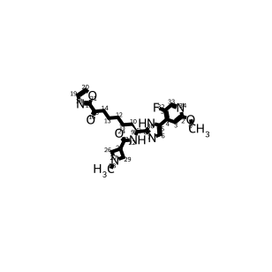 COc1cc(-c2cnc([C@H](CCCCCC(=O)c3ncco3)NC(=O)C3CN(C)C3)[nH]2)c(F)cn1